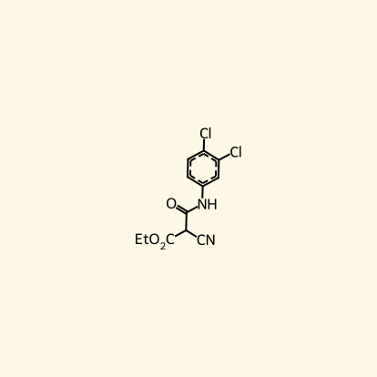 CCOC(=O)C(C#N)C(=O)Nc1ccc(Cl)c(Cl)c1